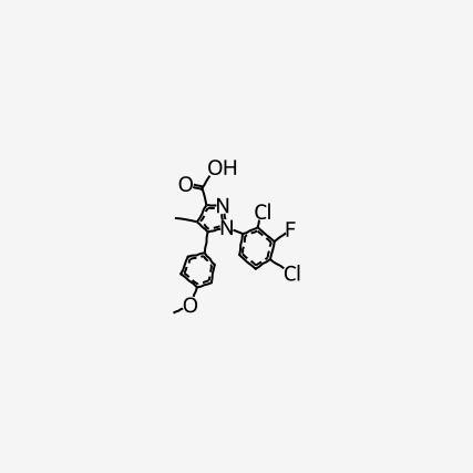 COc1ccc(-c2c(C)c(C(=O)O)nn2-c2ccc(Cl)c(F)c2Cl)cc1